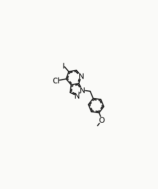 COc1ccc(Cn2ncc3c(Cl)c(I)cnc32)cc1